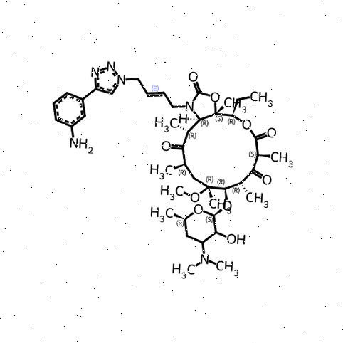 CC[C@H]1OC(=O)[C@@H](C)C(=O)[C@H](C)[C@@H](O[C@@H]2O[C@H](C)CC(N(C)C)C2O)[C@](C)(OC)C[C@@H](C)C(=O)[C@H](C)[C@H]2N(C/C=C/Cn3cc(-c4cccc(N)c4)nn3)C(=O)O[C@]12C